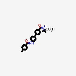 Cc1ccc(C(=O)Nc2ccc(-c3ccc(C(=O)N(C)C(C)(C)C(=O)O)cc3)cc2)cc1